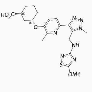 COc1nc(NCc2c(-c3ccc(O[C@H]4CCC[C@H](C(=O)O)C4)c(C)n3)nnn2C)ns1